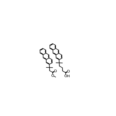 CC(C)(CCCC(=O)O)c1ccc2cc3ccccc3cc2c1.COC(=O)CC(C)(C)c1ccc2cc3ccccc3cc2c1